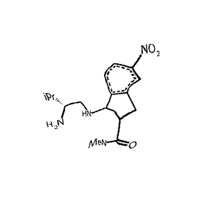 CNC(=O)C1Cc2cc([N+](=O)[O-])ccc2C1NC[C@H](N)C(C)C